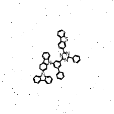 C1=C(n2c3ccccc3c3ccccc32)CCc2c1n(-c1cc(-c3ccccc3)cc(-c3nc(-c4ccccc4)nc(-c4ccc5c(c4)sc4ccccc45)n3)c1)c1ccccc21